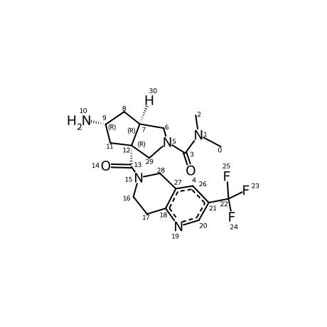 CN(C)C(=O)N1C[C@@H]2C[C@@H](N)C[C@]2(C(=O)N2CCc3ncc(C(F)(F)F)cc3C2)C1